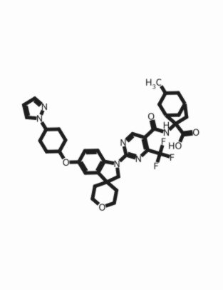 CC1CC2CC(C1)C(NC(=O)c1cnc(N3CC4(CCOCC4)c4cc(OC5CCC(n6cccn6)CC5)ccc43)nc1C(F)(F)F)(C(=O)O)C2